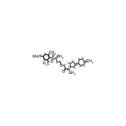 COc1cc(C)c(S(=O)(=O)N(C)CCOCC(=O)N(C)C2CCN(C3CCN(C)CC3)C2)c(C)c1